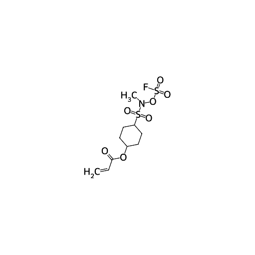 C=CC(=O)OC1CCC(S(=O)(=O)N(C)OS(=O)(=O)F)CC1